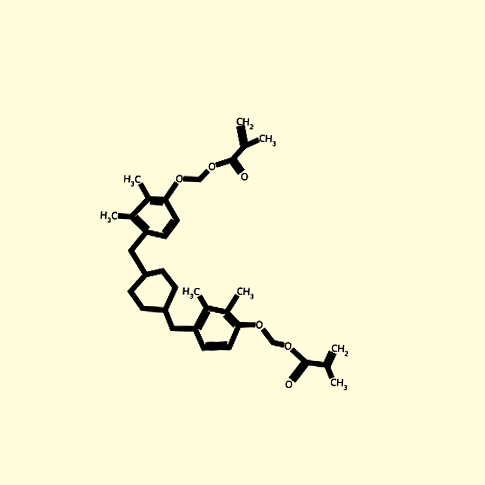 C=C(C)C(=O)OCOc1ccc(CC2CCC(Cc3ccc(OCOC(=O)C(=C)C)c(C)c3C)CC2)c(C)c1C